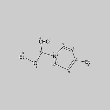 CCOC(C=O)[n+]1ccc(CC)cc1